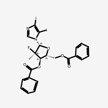 C[C@@]1(F)[C@H](OC(=O)c2ccccc2)[C@@H](COC(=O)c2ccccc2)O[C@H]1n1cnc(I)c1I